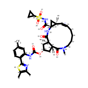 Cc1nc(-c2ccc(C(F)(F)F)cc2NC(=O)O[C@@H]2C[C@H]3C(=O)N[C@]4(C(=O)NS(=O)(=O)C5CC5)C[C@H]4/C=C\CCCCN(C)C(=O)[C@@H]3C2)sc1C